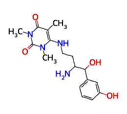 Cc1c(NCCC(N)C(O)c2cccc(O)c2)n(C)c(=O)n(C)c1=O